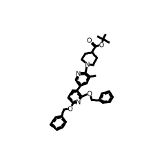 Cc1cc(-c2ccc(OCc3ccccc3)nc2OCc2ccccc2)cnc1N1CCC(C(=O)OC(C)(C)C)CC1